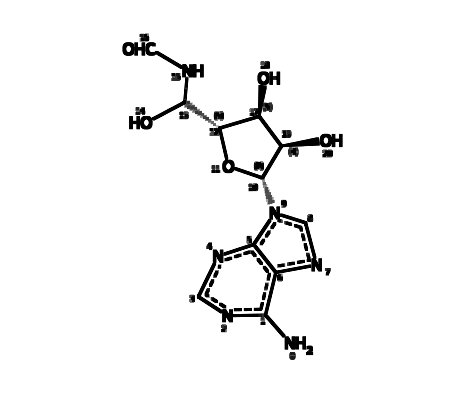 Nc1ncnc2c1ncn2[C@@H]1O[C@H](C(O)NC=O)[C@@H](O)[C@H]1O